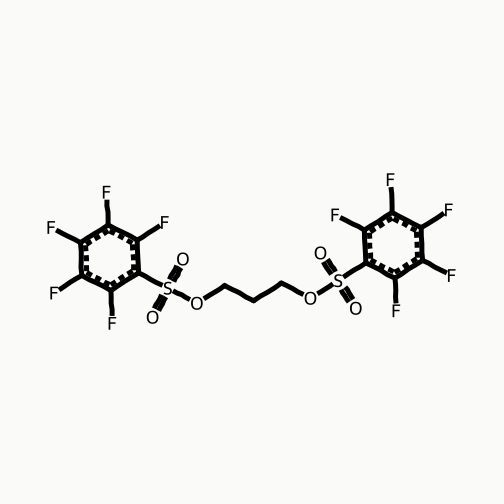 O=S(=O)(OCCCOS(=O)(=O)c1c(F)c(F)c(F)c(F)c1F)c1c(F)c(F)c(F)c(F)c1F